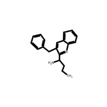 CCCC(N)c1nc2ccccc2cc1Cc1ccccc1